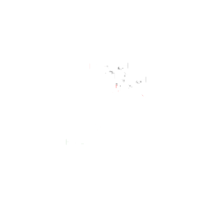 C[C@]12CCC(=O)C[C@@H]1CC[C@@H]1[C@@H]2[C@@H](OCCCCC[S+]([O-])CCCC(F)(F)C(F)(F)F)C[C@]2(C)[C@@H](O)CC[C@@H]12